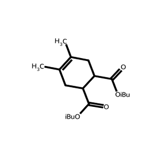 CC1=C(C)CC(C(=O)OCC(C)C)C(C(=O)OCC(C)C)C1